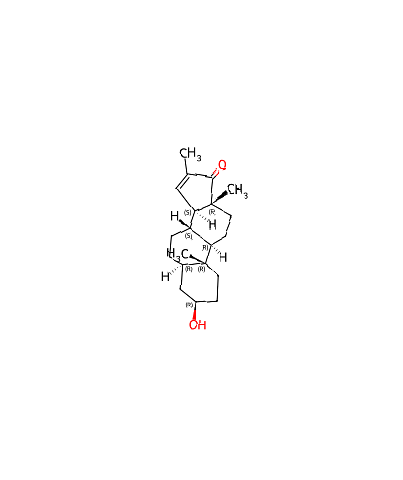 CC1=C[C@@H]2[C@H]3CC[C@@H]4C[C@H](O)CC[C@@]4(C)[C@@H]3CC[C@@]2(C)C1=O